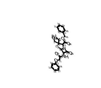 CC(=O)OCC1(CBr)SC2C(NC(=O)COc3ccccc3)C(=O)N2C1C(=O)OCc1ccccc1